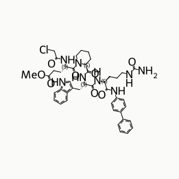 COC(=O)CC[C@H](NC(=O)CCl)C(=O)N1CCCC[C@H]1C(=O)N[C@@H](Cc1c[nH]c2ccccc12)C(=O)N[C@@H](CCCNC(N)=O)C(=O)Nc1ccc(-c2ccccc2)cc1